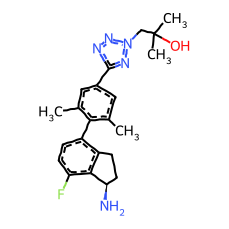 Cc1cc(-c2nnn(CC(C)(C)O)n2)cc(C)c1-c1ccc(F)c2c1CC[C@H]2N